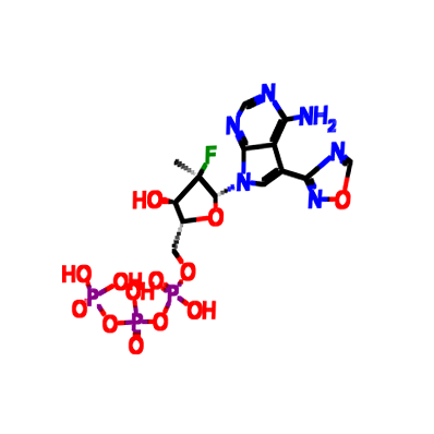 C[C@@]1(F)[C@H](O)[C@@H](COP(=O)(O)OP(=O)(O)OP(=O)(O)O)O[C@H]1n1cc(-c2ncon2)c2c(N)ncnc21